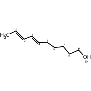 CC=CC=CCCCCCO